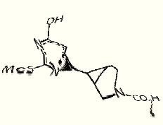 CSc1nc(O)cc(C2C3CN(C(=O)O)CC32)n1